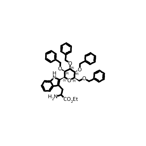 CCOC(=O)C(N)Cc1c([C@@H]2O[C@H](COCc3ccccc3)[C@@H](OCc3ccccc3)[C@H](OCc3ccccc3)[C@@H]2OCc2ccccc2)[nH]c2ccccc12